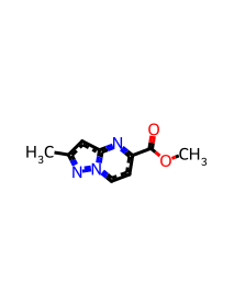 COC(=O)c1ccn2nc(C)cc2n1